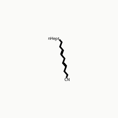 CCCCCCCCCC=CCC=CCCC#N